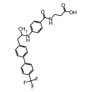 CC(Cc1ccc(-c2ccc(C(F)(F)F)cc2)cc1)Nc1ccc(C(=O)NCCC(=O)O)cc1